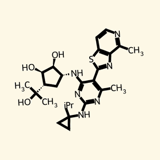 Cc1nc(NC2(C(C)C)CC2)nc(N[C@@H]2C[C@H](C(C)(C)O)[C@@H](O)[C@H]2O)c1-c1nc2c(C)nccc2s1